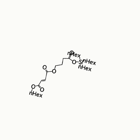 CCCCCCOC(=O)/C=C/C(=O)OCCCC(=O)O[Si](CCCCCC)(CCCCCC)CCCCCC